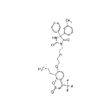 CCCc1c(OCCOCCN2C(=O)NC(c3ccccc3)(c3cccc(C)c3)C2=O)ccc2c(C(F)(F)F)cc(=O)oc12